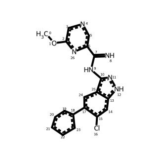 COc1cncc(C(=N)Nc2n[nH]c3cc(Cl)c(-c4ccccc4)cc23)n1